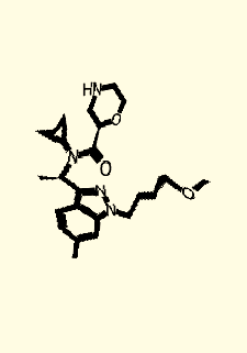 COCCCCn1nc([C@@H](C)N(C(=O)[C@H]2CNCCO2)C2CC2)c2ccc(C)cc21